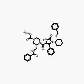 CC(C)(C)OC(=O)N1CCN(C(=O)c2[nH]c(=O)n([C@@H]3CCCC[C@H]3OCc3ccccc3)c2-c2ccccc2)[C@H](CNC(=O)c2ccccc2)C1